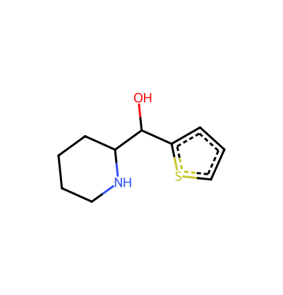 OC(c1cccs1)C1CCCCN1